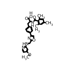 COc1ccnc(NCc2nc(-c3ccc(CC(NC(=O)c4c(C)cc(C)cc4C)C(=O)O)cc3)co2)c1